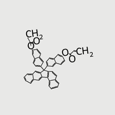 C=CC(=O)Oc1ccc2cc(C3(c4ccc5cc(OC(=O)C=C)ccc5c4)c4cc5ccccc5cc4-c4c3ccc3ccccc43)ccc2c1